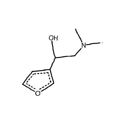 [CH2]N(C)CC(O)c1ccoc1